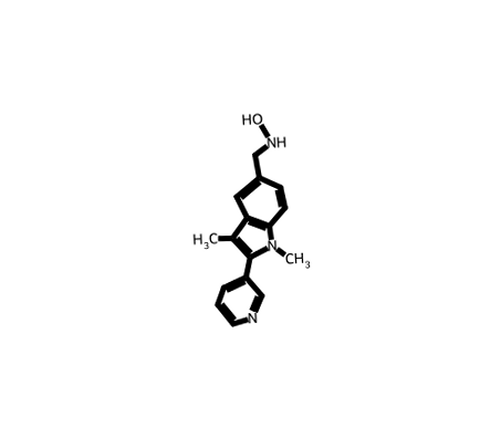 Cc1c(-c2cccnc2)n(C)c2ccc(CNO)cc12